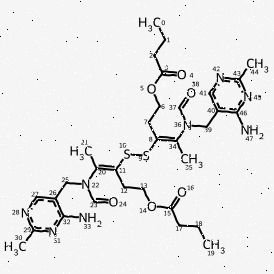 CCCC(=O)OCC/C(SS/C(CCOC(=O)CCC)=C(\C)N(C=O)Cc1cnc(C)nc1N)=C(/C)N(C=O)Cc1cnc(C)nc1N